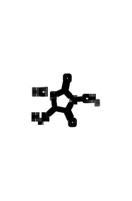 CN1C(=O)SC(N)C1=O.Cl